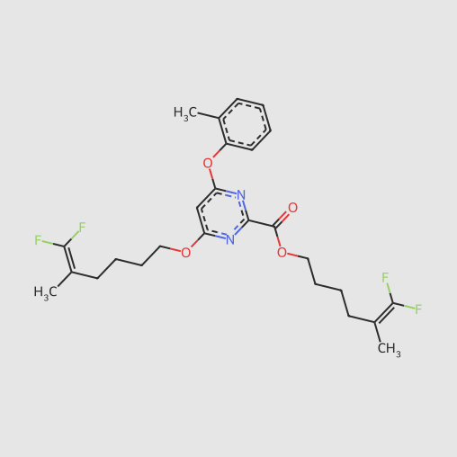 CC(CCCCOC(=O)c1nc(OCCCCC(C)=C(F)F)cc(Oc2ccccc2C)n1)=C(F)F